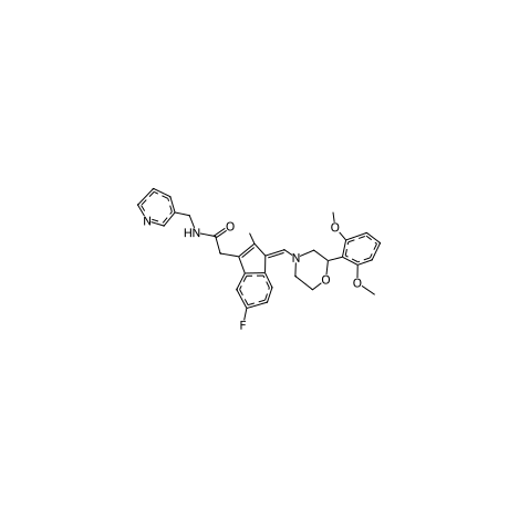 COc1cccc(OC)c1C1CN(C=C2C(C)=C(CC(=O)NCc3cccnc3)c3cc(F)ccc32)CCO1